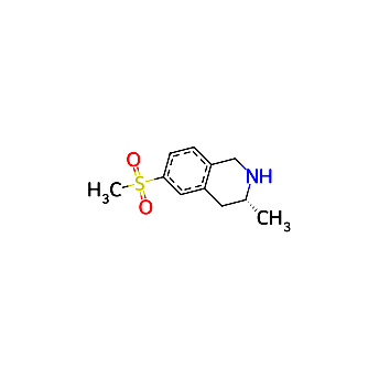 C[C@@H]1Cc2cc(S(C)(=O)=O)ccc2CN1